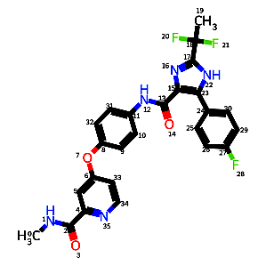 CNC(=O)c1cc(Oc2ccc(NC(=O)c3nc(C(C)(F)F)[nH]c3-c3ccc(F)cc3)cc2)ccn1